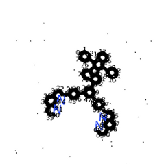 c1ccc(-c2c3c(c(-c4ccccc4)c4ccccc24)-c2ccc(-c4cc(-c5ccc(-c6ccc7ccc8cccnc8c7n6)cc5)cc(-c5ccc(-c6ccc7ccc8cccnc8c7n6)cc5)c4)c4cccc-3c24)cc1